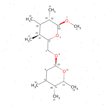 CO[C@H]1OC(CO[C@@H]2CC(C)[C@@H](C)C(C)O2)[C@@H](C)C(C)[C@@H]1C